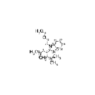 CCOCCn1c(C(CN(C)C)CN(C)C)nc2ccccc21